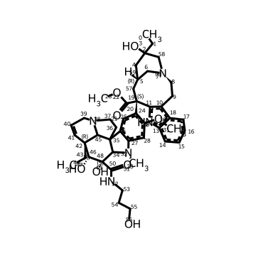 CCC1(O)C[C@@H]2C[N@](CCc3c([nH]c4ccccc34)[C@@](C(=O)OC)(c3cc4c(cc3OC)N(C)C3C45CCN4CC=C[C@](CC)(C45)[C@@H](O)[C@]3(O)C(=O)NCCCO)C2)C1